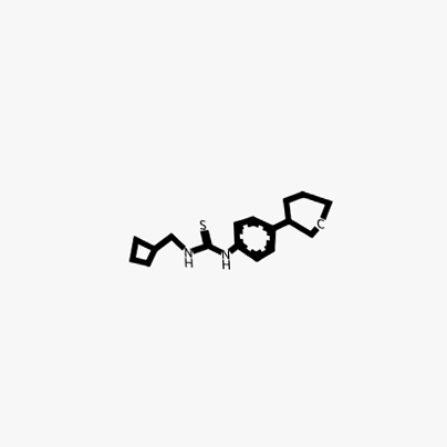 S=C(NCC1CCC1)Nc1ccc(C2CCCCC2)cc1